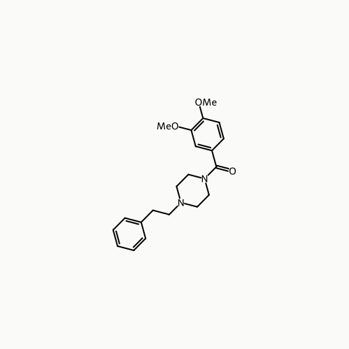 COc1ccc(C(=O)N2CCN(CCc3ccccc3)CC2)cc1OC